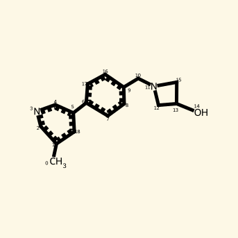 Cc1cncc(-c2ccc(CN3CC(O)C3)cc2)c1